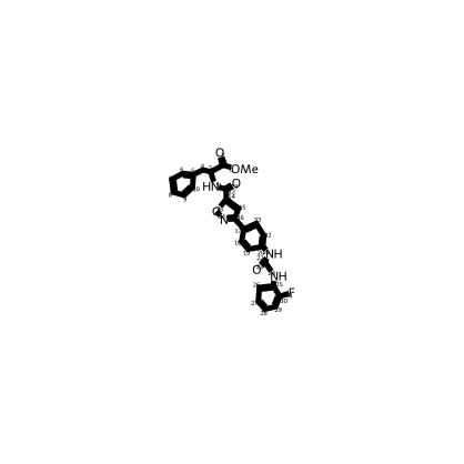 COC(=O)C(Cc1ccccc1)NC(=O)c1cc(-c2ccc(NC(=O)Nc3ccccc3F)cc2)no1